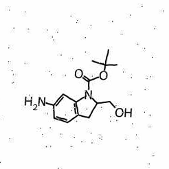 CC(C)(C)OC(=O)N1c2cc(N)ccc2CC1CO